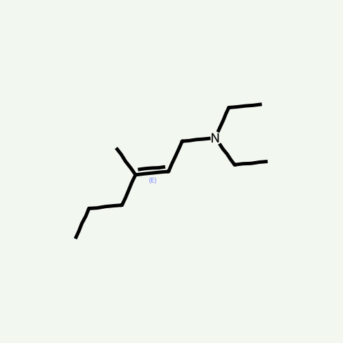 CCC/C(C)=C/CN(CC)CC